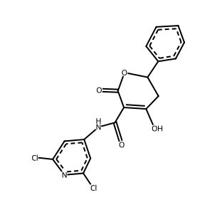 O=C(Nc1cc(Cl)nc(Cl)c1)C1=C(O)CC(c2ccccc2)OC1=O